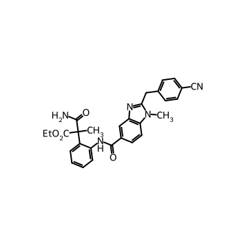 CCOC(=O)C(C)(C(N)=O)c1ccccc1NC(=O)c1ccc2c(c1)nc(Cc1ccc(C#N)cc1)n2C